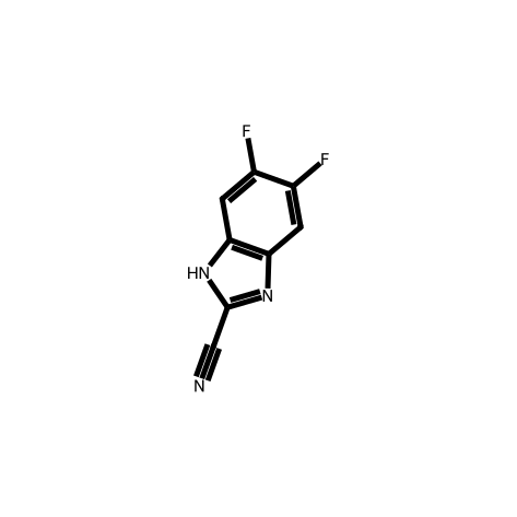 N#Cc1nc2cc(F)c(F)cc2[nH]1